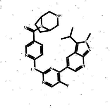 CC(C)c1c2cc(-c3nc(Nc4ccc(C(=O)N5C6CCC5CNC6)cn4)ncc3F)cnc2nn1C